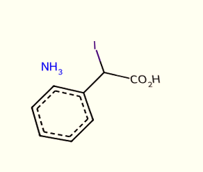 N.O=C(O)C(I)c1ccccc1